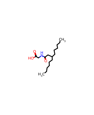 CCCCCCC(CCCCCC)CC(=O)NCC(=O)O